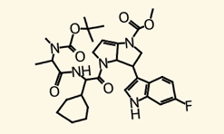 COC(=O)N1CC(c2c[nH]c3cc(F)ccc23)C2C1=CCN2C(=O)C(NC(=O)C(C)N(C)C(=O)OC(C)(C)C)C1CCCCC1